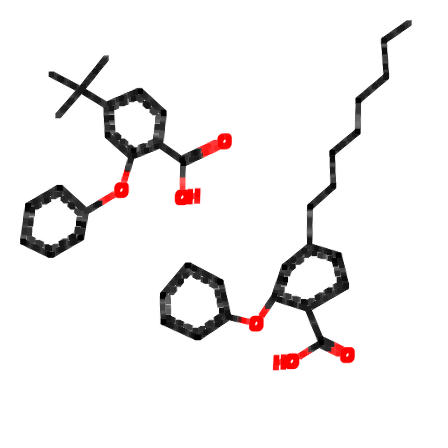 CC(C)(C)c1ccc(C(=O)O)c(Oc2ccccc2)c1.CCCCCCCCc1ccc(C(=O)O)c(Oc2ccccc2)c1